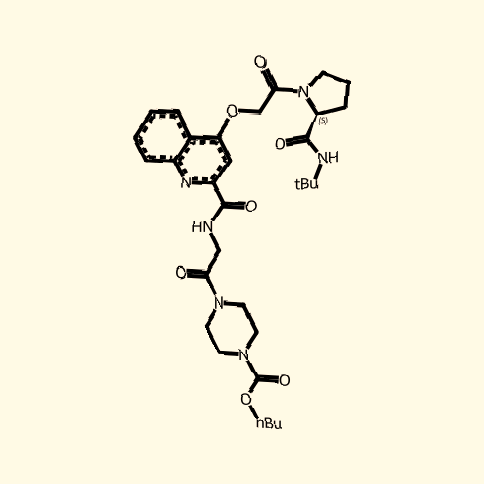 CCCCOC(=O)N1CCN(C(=O)CNC(=O)c2cc(OCC(=O)N3CCC[C@H]3C(=O)NC(C)(C)C)c3ccccc3n2)CC1